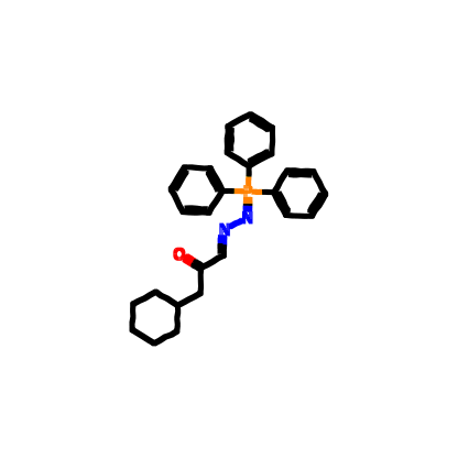 O=C(C=NN=P(c1ccccc1)(c1ccccc1)c1ccccc1)CC1CCCCC1